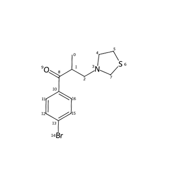 CC(CN1CCSC1)C(=O)c1ccc(Br)cc1